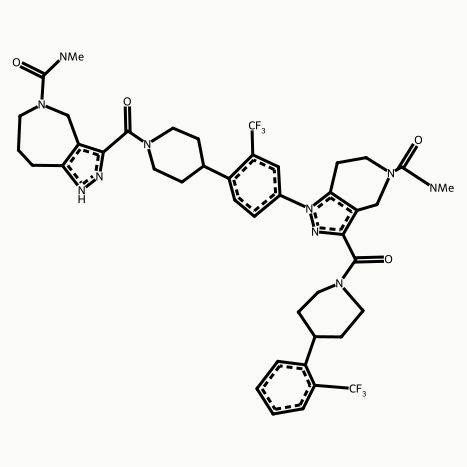 CNC(=O)N1CCCc2[nH]nc(C(=O)N3CCC(c4ccc(-n5nc(C(=O)N6CCC(c7ccccc7C(F)(F)F)CC6)c6c5CCN(C(=O)NC)C6)cc4C(F)(F)F)CC3)c2C1